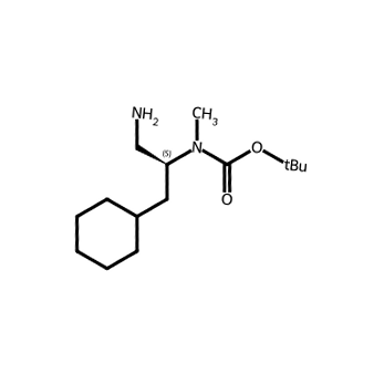 CN(C(=O)OC(C)(C)C)[C@H](CN)CC1CCCCC1